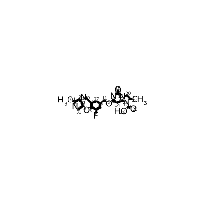 Cc1ccc(Oc2c(F)cc(COc3cc4n(c(=O)n3)CC(C)N4C(=O)O)cc2C#N)cn1